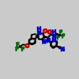 N#Cc1ccc(-n2nc3c(c2C(=O)NCC(F)(F)F)C(=O)N[C@@]2(CCc4cc(OCC(F)(F)F)ccc42)C3)nc1